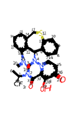 C[C@@H](N1CN([C@@H]2c3ccccc3SCc3cccc(N(C)C)c32)n2ccc(=O)c(O)c2C1=O)C(F)(F)F